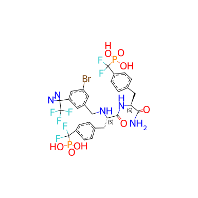 NC(=O)[C@H](Cc1ccc(C(F)(F)P(=O)(O)O)cc1)NC(=O)[C@H](Cc1ccc(C(F)(F)P(=O)(O)O)cc1)NCc1cc(Br)cc(C2(C(F)(F)F)N=N2)c1